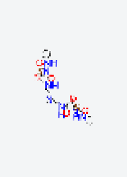 CN(CCCNC1=CC(=O)c2sc(C(=O)NC3CCCCC3)nc2C1=O)CCCNC1=CC(=O)c2sc(C(=O)NC3CCCCC3)nc2C1=O